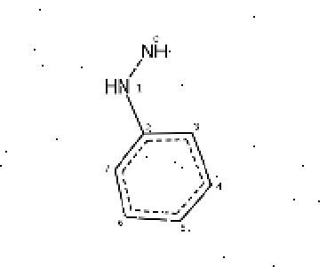 [NH]Nc1ccccc1